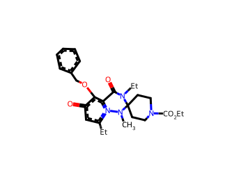 CCOC(=O)N1CCC2(CC1)N(CC)C(=O)c1c(OCc3ccccc3)c(=O)cc(CC)n1N2C